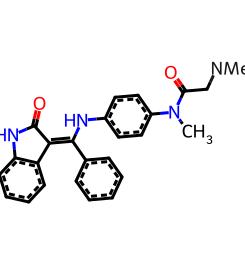 CNCC(=O)N(C)c1ccc(N/C(=C2\C(=O)Nc3ccccc32)c2ccccc2)cc1